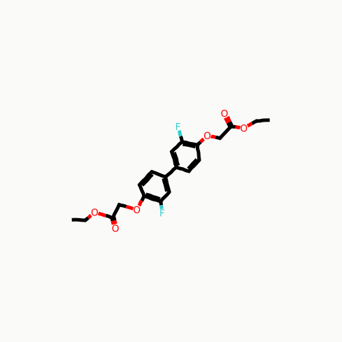 CCOC(=O)COc1ccc(-c2ccc(OCC(=O)OCC)c(F)c2)cc1F